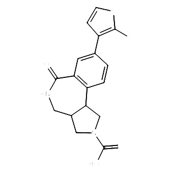 O=C1NCC2CN(C(=O)O)CC2c2ccc(-c3ccsc3Cl)cc21